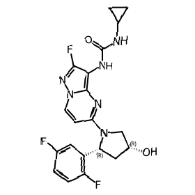 O=C(Nc1c(F)nn2ccc(N3C[C@H](O)C[C@@H]3c3cc(F)ccc3F)nc12)NC1CC1